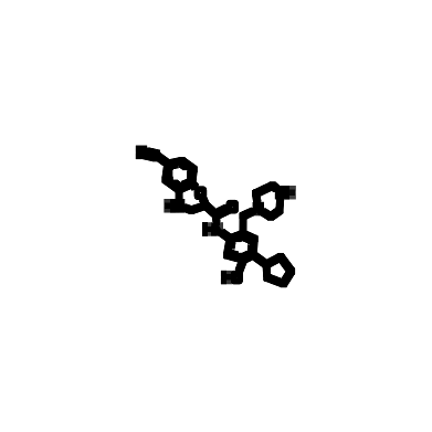 N#Cc1ccc2c(c1)NCC(C(=O)Nc1cc(O)c(C3CCCC3)cc1CN1CCNCC1)O2